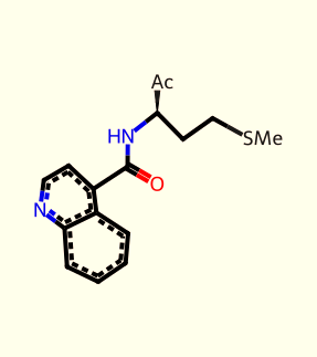 CSCC[C@@H](NC(=O)c1ccnc2ccccc12)C(C)=O